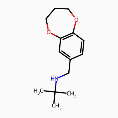 CC(C)(C)NCc1ccc2c(c1)OCCCO2